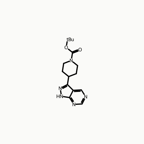 CC(C)(C)OC(=O)N1CCC(c2n[nH]c3ncncc23)CC1